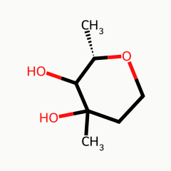 C[C@@H]1OCCC(C)(O)C1O